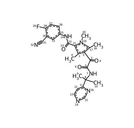 Cc1c(C(=O)C(=O)NC(C)(C)c2ccncn2)c(C)n(C)c1C(=O)Nc1ccc(F)c(C#N)c1